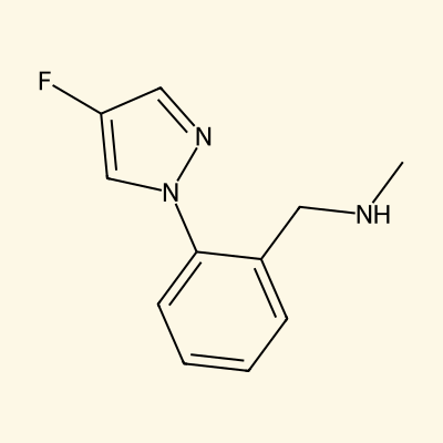 CNCc1ccccc1-n1cc(F)cn1